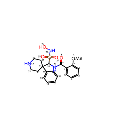 COc1ccccc1C(=O)NC(C1(c2ccccc2)CCNCC1)S(=O)(=O)NO